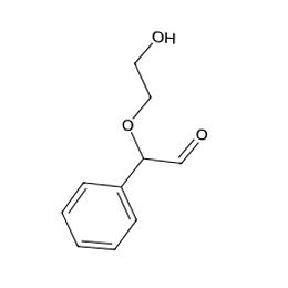 O=CC(OCCO)c1ccccc1